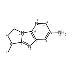 CC1CCn2c1nc1cc(N)cnc12